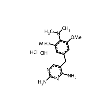 COc1cc(Cc2cnc(N)nc2N)cc(OC)c1N(C)C.Cl.Cl